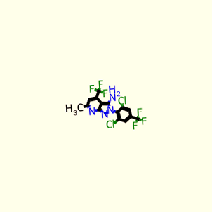 Cc1cc(C(F)(F)F)c2c(N)n(-c3c(Cl)cc(C(F)(F)F)cc3Cl)nc2n1